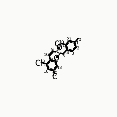 Cc1ccc(CS(=O)(=O)/C=C\c2ccc(Cl)cc2Cl)c(Cl)c1